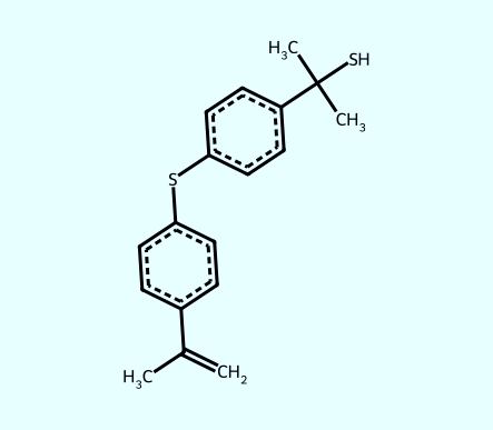 C=C(C)c1ccc(Sc2ccc(C(C)(C)S)cc2)cc1